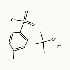 CC(C)(C)[O-].Cc1ccc(S(=O)(=O)Cl)cc1.[K+]